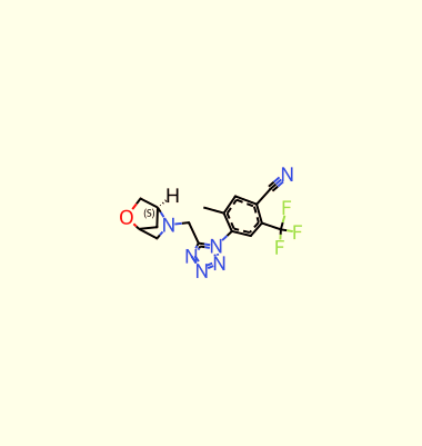 Cc1cc(C#N)c(C(F)(F)F)cc1-n1nnnc1CN1CC2C[C@H]1CO2